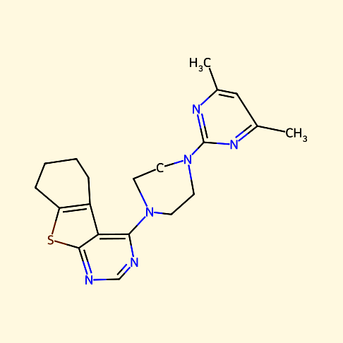 Cc1cc(C)nc(N2CCN(c3ncnc4sc5c(c34)CCCC5)CC2)n1